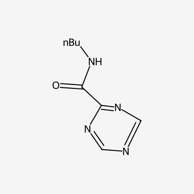 CCCCNC(=O)c1ncncn1